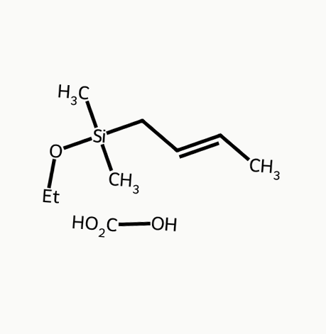 CC=CC[Si](C)(C)OCC.O=C(O)O